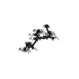 C=C1CC(CO[Si](C)(C)C(C)(C)C)N(C(=O)c2cc(OC)c(OCCCCCOc3cc(NC(=O)OCc4ccc(NC(=O)C(CCCNC(N)=O)NC(=O)C(NC(=O)CCCCCN5C(=O)C=CC5=O)C(C)C)cc4)c(C(=O)N4CC(=C)CC4CO[Si](C)(C)C(C)(C)C)cc3OC)cc2NC(=O)O)C1